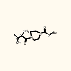 C[C@H](O)[C@@H](N)C(=O)N1CCN(C(=O)OC(C)(C)C)CC1